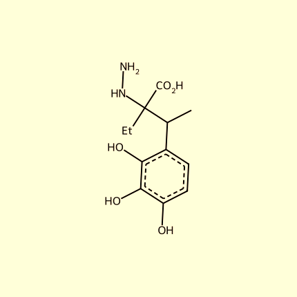 CCC(NN)(C(=O)O)C(C)c1ccc(O)c(O)c1O